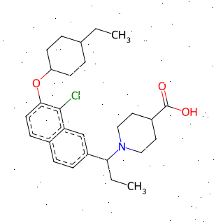 CCC1CCC(Oc2ccc3ccc(C(CC)N4CCC(C(=O)O)CC4)cc3c2Cl)CC1